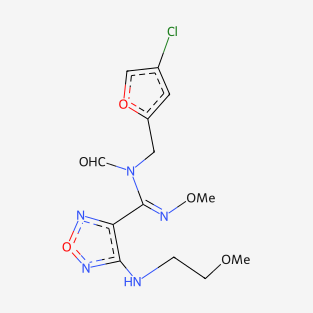 COCCNc1nonc1/C(=N/OC)N(C=O)Cc1cc(Cl)co1